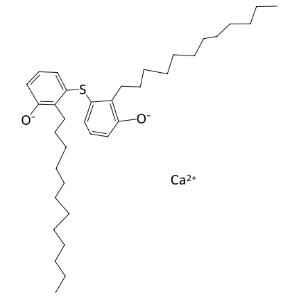 CCCCCCCCCCCCc1c([O-])cccc1Sc1cccc([O-])c1CCCCCCCCCCCC.[Ca+2]